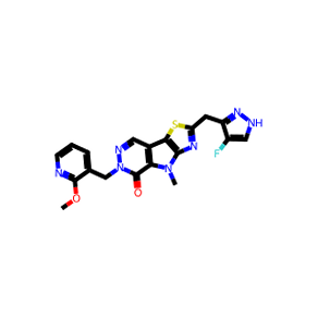 COc1ncccc1Cn1ncc2c3sc(Cc4n[nH]cc4F)nc3n(C)c2c1=O